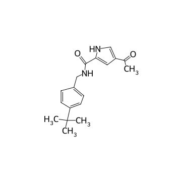 CC(=O)c1c[nH]c(C(=O)NCc2ccc(C(C)(C)C)cc2)c1